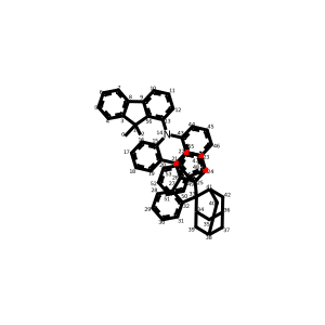 CC1(C)c2ccccc2-c2cccc(N(c3ccccc3-c3cccc4c3-c3ccccc3C43C4CC5CC(C4)CC3C5)c3cccc4sc5ccccc5c34)c21